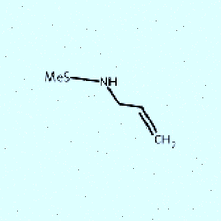 C=CCNSC